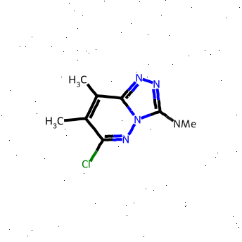 CNc1nnc2c(C)c(C)c(Cl)nn12